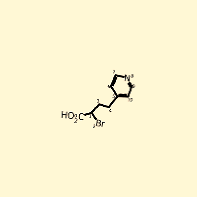 O=C(O)C(Br)CCc1ccncc1